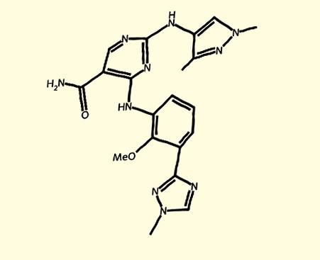 COc1c(Nc2nc(Nc3cn(C)nc3C)ncc2C(N)=O)cccc1-c1ncn(C)n1